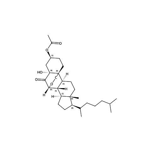 CC(=O)O[C@H]1CC[C@@]23CO[C@@H](C(=O)[C@@]2(O)C1)[C@H]1[C@@H]2CC[C@H](C(C)CCCC(C)C)[C@@]2(C)CC[C@@H]13